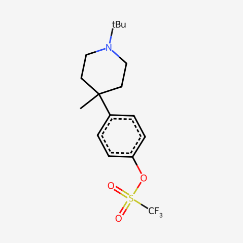 CC1(c2ccc(OS(=O)(=O)C(F)(F)F)cc2)CCN(C(C)(C)C)CC1